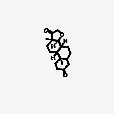 C[C@]12CCC(=O)CC1CC[C@@H]1[C@H]2CC[C@]2(C)C(=O)CO[C@@H]12